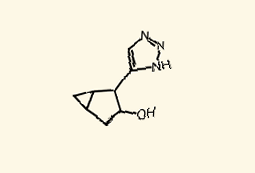 OC1CC2CC2C1c1cnn[nH]1